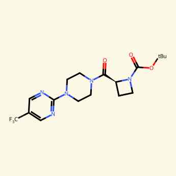 CC(C)(C)OC(=O)N1CC[C@H]1C(=O)N1CCN(c2ncc(C(F)(F)F)cn2)CC1